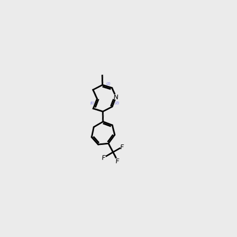 C/C1=C/N=C\C(C2=CC=C(C(F)(F)F)C=CC2)/C=C/C1